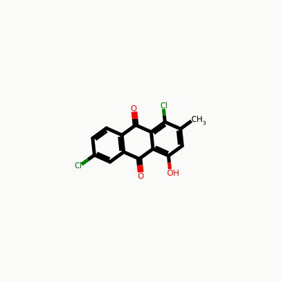 Cc1cc(O)c2c(c1Cl)C(=O)c1ccc(Cl)cc1C2=O